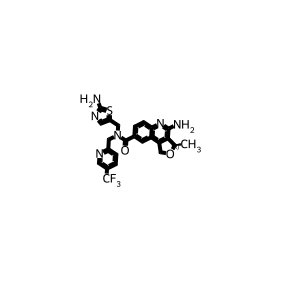 C[C@H]1OCc2c1c(N)nc1ccc(C(=O)N(Cc3ccc(C(F)(F)F)cn3)Cc3cnc(N)s3)cc21